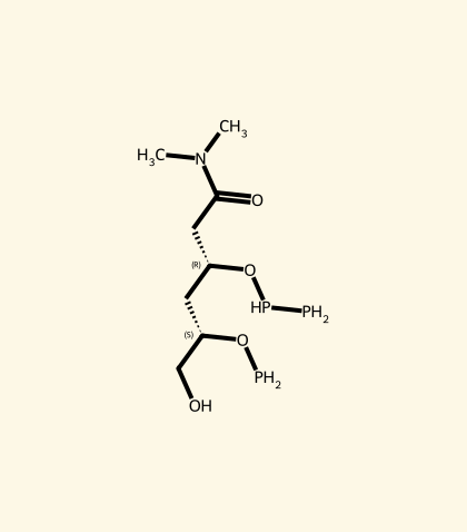 CN(C)C(=O)C[C@@H](C[C@@H](CO)OP)OPP